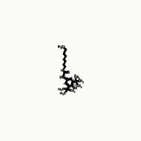 CCCCCCCCOC(=O)Nc1cc(C(C)(C)C)c(O)c(C(C)(C)C)c1